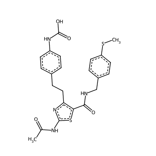 CSc1ccc(CNC(=O)c2sc(NC(C)=O)nc2CCc2ccc(NC(=O)O)cc2)cc1